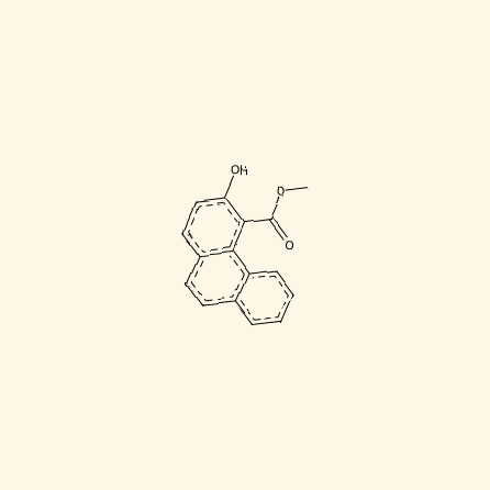 COC(=O)c1c(O)ccc2ccc3ccccc3c12